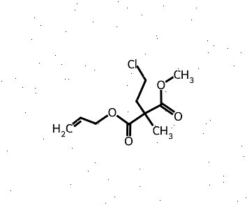 C=CCOC(=O)C(C)(CCCl)C(=O)OC